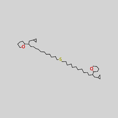 C(CCCCCSCCCCCCCCCCCC(CC1CC1)C1CCCCO1)CCCCCC(CC1CC1)C1CCCCO1